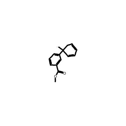 [CH2]C1(c2cccc(C(=O)OC)c2)C=CC=CC1